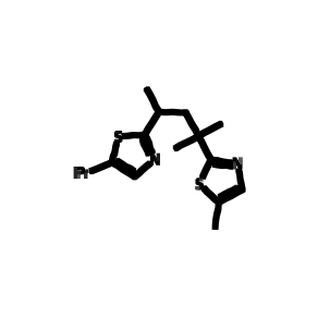 Cc1cnc(C(C)(C)CC(C)c2ncc(C(C)C)s2)s1